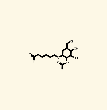 CC(=O)NC1C(OCCCCCC(=O)I)CC(CO)C(O)C1O